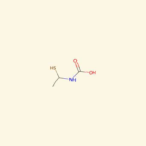 CC(S)NC(=O)O